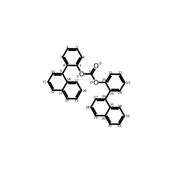 O=C(Oc1ccccc1-c1cccc2ccccc12)Oc1ccccc1-c1cccc2ccccc12